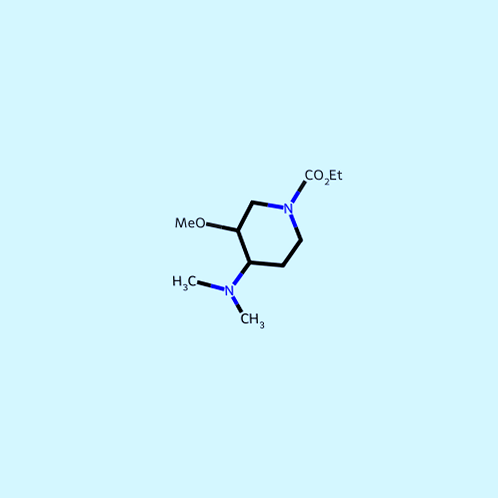 CCOC(=O)N1CCC(N(C)C)C(OC)C1